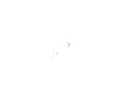 CC(C)OC(=O)[C@@H](C)N[P@](=O)(OC[C@H]1OC(n2cc(Br)c(N)nc2=O)[C@](C)(F)[C@@H]1O)Oc1ccccc1